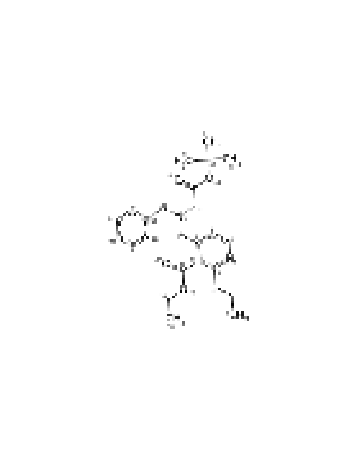 CCCc1nccc(CN(CC(=O)OC(C)(C)C)Cc2ccccc2)c1C(=O)OCC